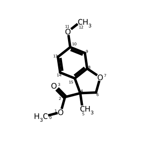 COC(=O)C1(C)COc2cc(OC)ccc21